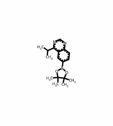 CC(C)c1ncnc2ccc(B3OC(C)(C)C(C)(C)O3)cc12